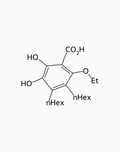 CCCCCCc1c(O)c(O)c(C(=O)O)c(OCC)c1CCCCCC